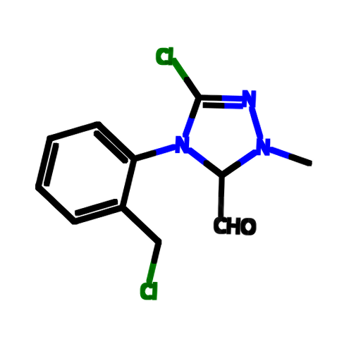 CN1N=C(Cl)N(c2ccccc2CCl)C1C=O